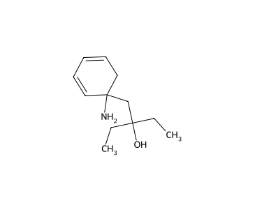 CCC(O)(CC)CC1(N)C=CC=CC1